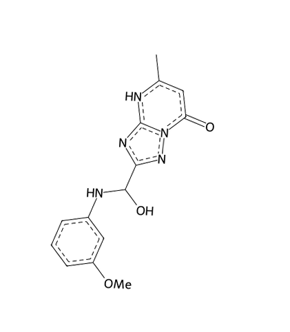 COc1cccc(NC(O)c2nc3[nH]c(C)cc(=O)n3n2)c1